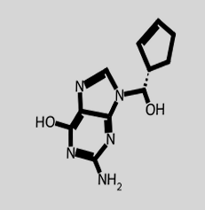 Nc1nc(O)c2ncn(C(O)[C@@H]3C=CCC3)c2n1